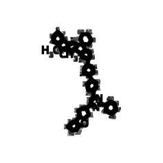 CC1(C)c2ccccc2-c2cc3c(cc21)-c1cc(-c2ccc(-c4ccc(-c5cc(C6=CC=C7c8ccccc8OC7C6)nc(-c6ccccc6)n5)cc4)cc2)ccc1C31CCCCC1